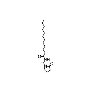 CCCCCCCCCCCC(=O)NC(C)N1CCCC1=O